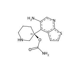 NC(=O)O[C@]1(c2c(N)cnc3sccc23)CCCNC1